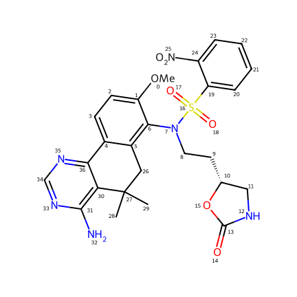 COc1ccc2c(c1N(CC[C@@H]1CNC(=O)O1)S(=O)(=O)c1ccccc1[N+](=O)[O-])CC(C)(C)c1c(N)ncnc1-2